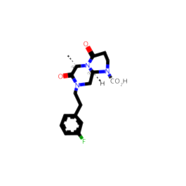 C[C@H]1C(=O)N(CCc2cccc(F)c2)C[C@@H]2N(C(=O)O)CCC(=O)N21